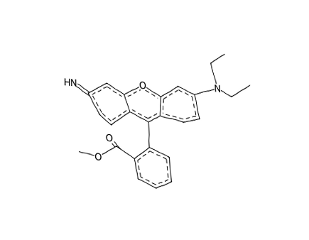 CCN(CC)c1ccc2c(-c3ccccc3C(=O)OC)c3ccc(=N)cc-3oc2c1